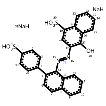 O=S(=O)(O)c1ccc(-c2ccc3ccccc3c2/N=N/c2cc(S(=O)(=O)O)c3ccccc3c2O)cc1.[NaH].[NaH]